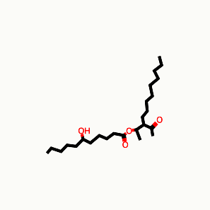 CCCCCCCCCC(C(C)=O)C(C)OC(=O)CCCCC(O)CCCCC